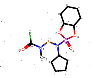 CN(SN(C1CCCC1)P1(=O)OC2CCCCC2O1)C(=O)F